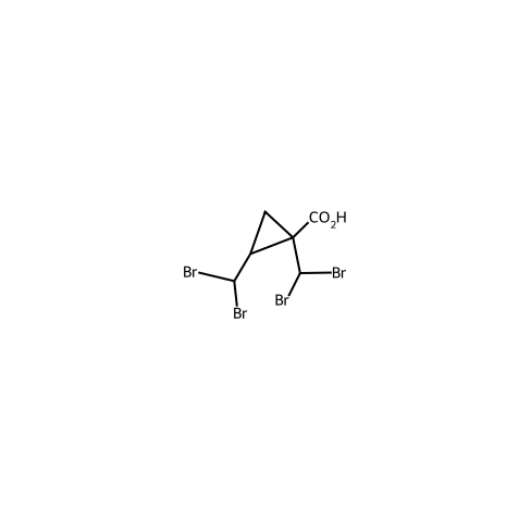 O=C(O)C1(C(Br)Br)CC1C(Br)Br